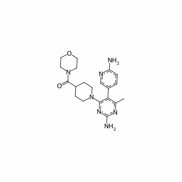 Cc1nc(N)nc(N2CCC(C(=O)N3CCOCC3)CC2)c1-c1ccc(N)nc1